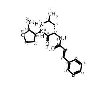 CC(C)C[C@H](NC(=O)C=Cc1ccccc1)C(=O)N[C@H]1CCOC1O